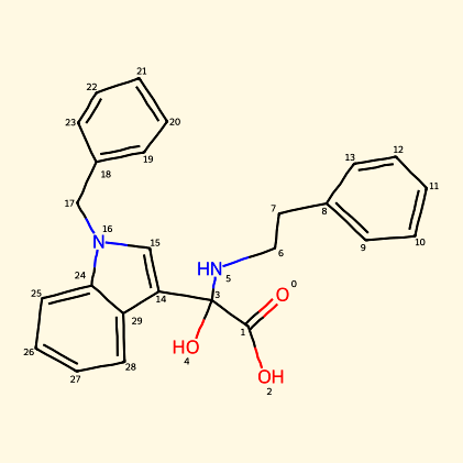 O=C(O)C(O)(NCCc1ccccc1)c1cn(Cc2ccccc2)c2ccccc12